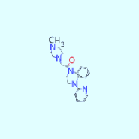 CN1CCN(CC(=O)N2CCN(c3ccccn3)c3ccccc32)CC1